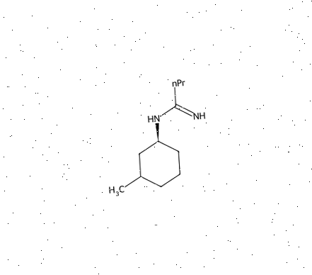 CCCC(=N)N[C@H]1CCCC(C)C1